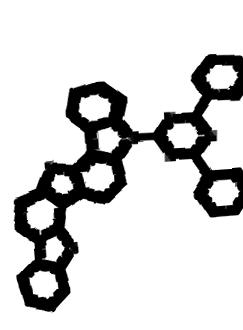 c1ccc(-c2nc(-c3ccccc3)nc(-n3c4ccccc4c4c5sc6ccc7c8ccccc8sc7c6c5ccc43)n2)cc1